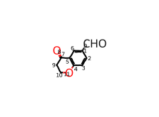 O=Cc1ccc2c(c1)C(=O)CCO2